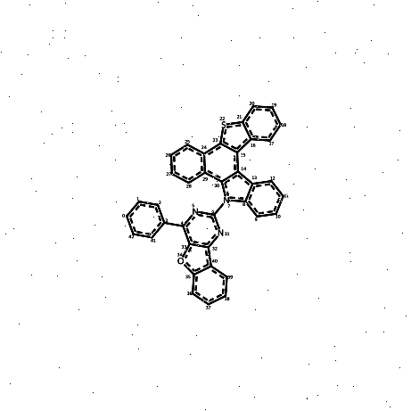 c1ccc(-c2nc(-n3c4ccccc4c4c5c6ccccc6sc5c5ccccc5c43)nc3c2oc2ccccc23)cc1